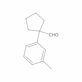 Cc1cccc(C2(C=O)CCCC2)c1